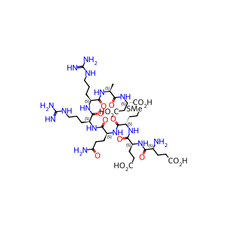 CSCC[C@H](NC(=O)[C@H](CCC(=O)O)NC(=O)[C@@H](N)CCC(=O)O)C(=O)N[C@@H](CCC(N)=O)C(=O)N[C@@H](CCCNC(=N)N)C(=O)N[C@@H](CCCNC(=N)N)C(=O)N[C@@H](C)C(=O)N[C@@H](CC(=O)O)C(=O)O